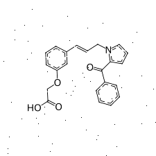 O=C(O)COc1cccc(/C=C/Cn2cccc2C(=O)c2ccccc2)c1